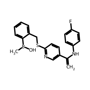 C=C(Nc1ccc(F)cc1)c1ccc(SCc2ccccc2B(C)O)nc1